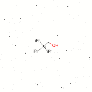 CC(C)[Si](CO)(C(C)C)C(C)C